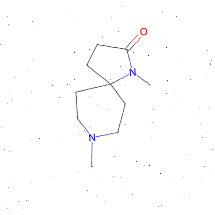 CN1CCC2(CCC(=O)N2C)CC1